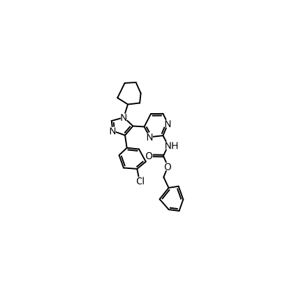 O=C(Nc1nccc(-c2c(-c3ccc(Cl)cc3)ncn2C2CCCCC2)n1)OCc1ccccc1